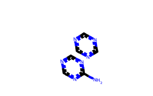 Nc1ncncn1.c1ncncn1